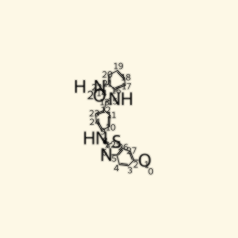 COc1ccc2nc(Nc3ccc(C(=O)Nc4ccccc4N)cc3)sc2c1